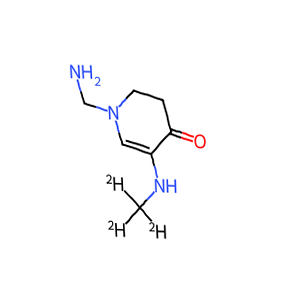 [2H]C([2H])([2H])NC1=CN(CN)CCC1=O